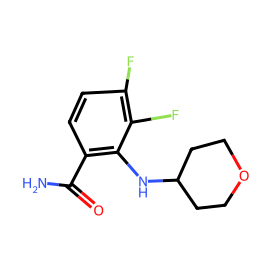 NC(=O)c1ccc(F)c(F)c1NC1CCOCC1